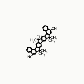 CC1(C)c2cc3c(cc2-c2cc4c(cc21)-c1c(cc(C#N)c2ccccc12)C4(C)C)C(C)(C)c1cc(C#N)c2ccccc2c1-3